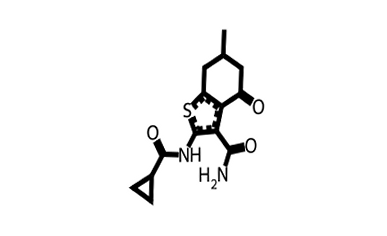 CC1CC(=O)c2c(sc(NC(=O)C3CC3)c2C(N)=O)C1